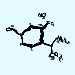 Cl.NC(C(=O)O)c1ccc(Cl)cc1F